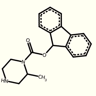 CC1CNCCN1C(=O)OC1c2ccccc2-c2ccccc21